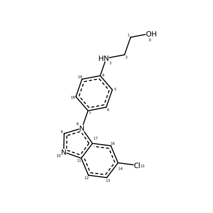 OCCNc1ccc(-n2cnc3ccc(Cl)cc32)cc1